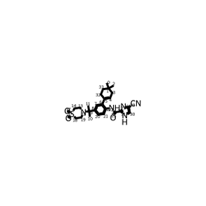 CC1(C)CC=C(c2cc(C(C)(C)N3CCS(=O)(=O)CC3)ccc2NC(=O)c2nc(C#N)c[nH]2)CC1